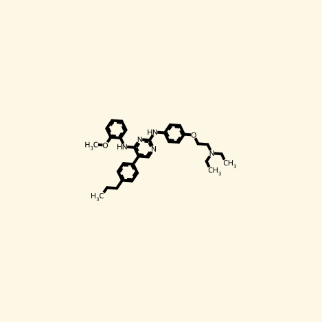 CCCc1ccc(-c2cnc(Nc3ccc(OCCN(CC)CC)cc3)nc2Nc2ccccc2OC)cc1